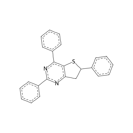 c1ccc(-c2nc3c(c(-c4ccccc4)n2)SC(c2ccccc2)C3)cc1